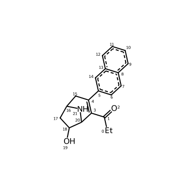 CCC(=O)C1=C(c2ccc3ccccc3c2)CC2CC(O)C1N2